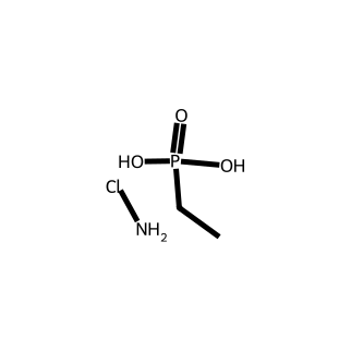 CCP(=O)(O)O.NCl